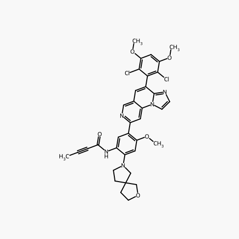 CC#CC(=O)Nc1cc(-c2cc3c(cn2)cc(-c2c(Cl)c(OC)cc(OC)c2Cl)c2nccn23)c(OC)cc1N1CCC2(CCOC2)C1